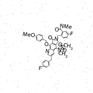 CNC(=O)c1cc(F)ccc1CN1Cc2c(c(OCc3ccc(OC)cc3)c3ncc(Cc4ccc(F)cc4)cc3c2N(C)S(C)(=O)=O)C1=O